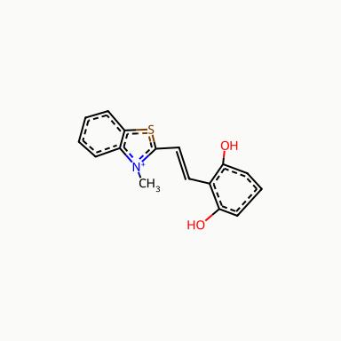 C[n+]1c(/C=C/c2c(O)cccc2O)sc2ccccc21